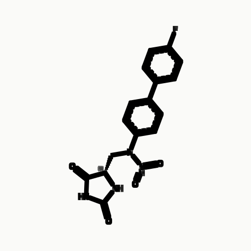 O=C1NC(=O)[C@H](CN(c2ccc(-c3ccc(F)cc3)cc2)[SH](=O)=O)N1